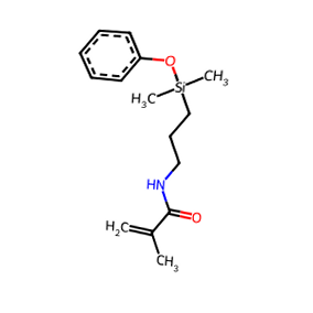 C=C(C)C(=O)NCCC[Si](C)(C)Oc1ccccc1